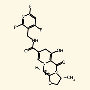 C[C@@H]1CO[C@@]23CCC[C@@H]2N2C=C(C(=O)NCc4c(F)cc(F)nc4F)CC(O)=C2C(=O)N13